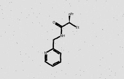 CCC[C@@H](CC)C(=O)NCc1ccccn1